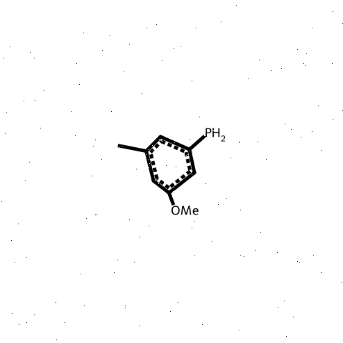 COc1cc(C)cc(P)c1